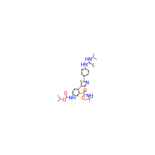 CC(C)NC(=S)Nc1ccc(-c2ncc(-c3ccc(NC(=O)OC(C)C)cc3S(=O)(=O)NC(C)(C)C)s2)cc1